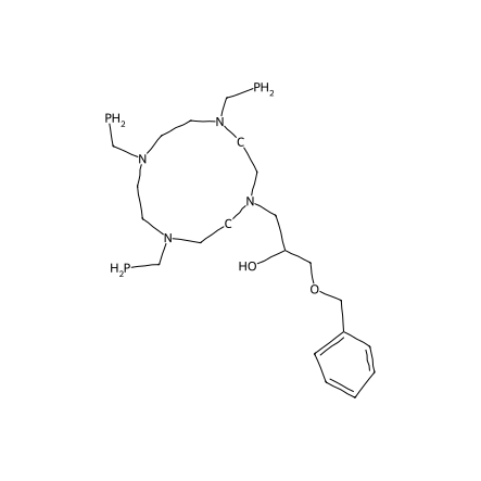 OC(COCc1ccccc1)CN1CCN(CP)CCN(CP)CCN(CP)CC1